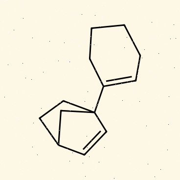 C1=CC2(C3=CCCCC3)CCC1C2